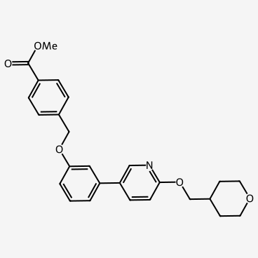 COC(=O)c1ccc(COc2cccc(-c3ccc(OCC4CCOCC4)nc3)c2)cc1